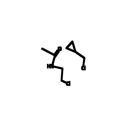 CC(=O)NCCCl.ClCC1CC1